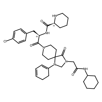 O=C(CN1CN(C2=CC=CCC2)C2(CCN(C(=O)[C@@H](Cc3ccc(Cl)cc3)NC(=O)[C@@H]3CCCCN3)CC2)C1=O)NC1CCCCC1